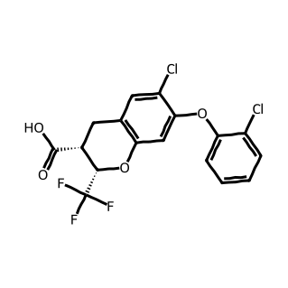 O=C(O)[C@@H]1Cc2cc(Cl)c(Oc3ccccc3Cl)cc2O[C@@H]1C(F)(F)F